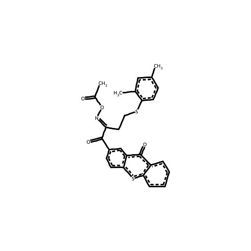 CC(=O)O/N=C(\CCSc1ccc(C)cc1C)C(=O)c1ccc2sc3ccccc3c(=O)c2c1